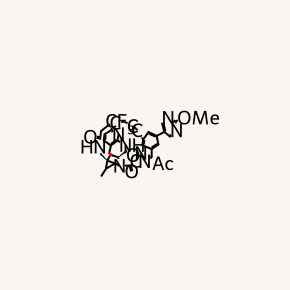 COc1ncc(-c2cc3c4c(c2)c(C(C)=O)nn4CC(=O)N2C4C(C)[C@]4(CNC(=O)CCCCCC3)C[C@H]2C(=O)Nc2nc(C(F)(F)F)ccc2C)cn1